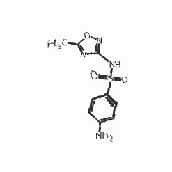 Cc1nc(NS(=O)(=O)c2ccc(N)cc2)no1